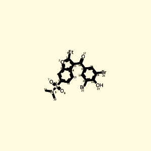 CCc1oc2cc(S(=O)(=O)N(C)C)ccc2c1C(=O)c1cc(Br)c(O)c(Br)c1